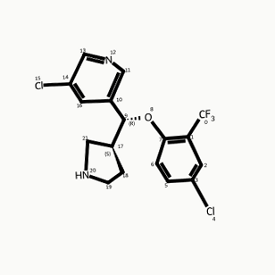 FC(F)(F)c1cc(Cl)ccc1O[C@@H](c1cncc(Cl)c1)[C@H]1CCNC1